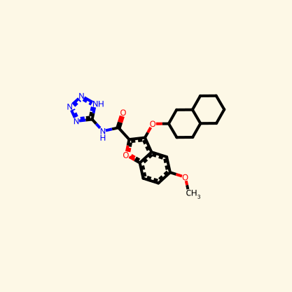 COc1ccc2oc(C(=O)Nc3nnn[nH]3)c(OC3CCC4CCCCC4C3)c2c1